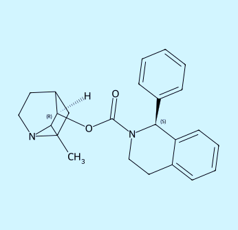 CC1[C@H](OC(=O)N2CCc3ccccc3[C@@H]2c2ccccc2)C2CCN1CC2